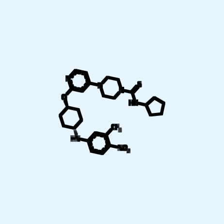 O=[N+]([O-])c1ccc(N[C@H]2CC[C@H](Oc3cc(N4CCN(C(=S)NC5CCCC5)CC4)ccn3)CC2)cc1C(F)(F)F